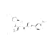 Cn1cc(NC(=O)c2coc(-c3ccnc([C](C(C)(C)C)C(F)(F)F)c3)n2)c(N2C[C@@H](N)CC2=O)n1